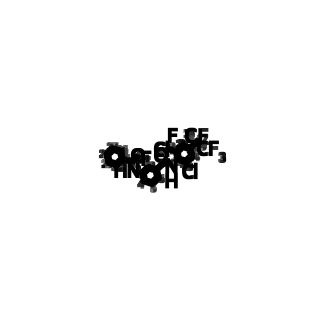 O=C(Nc1cccc(C(=O)Nc2c(Cl)cc(C(F)(C(F)(F)F)C(F)(F)F)cc2Cl)c1F)c1ccccc1